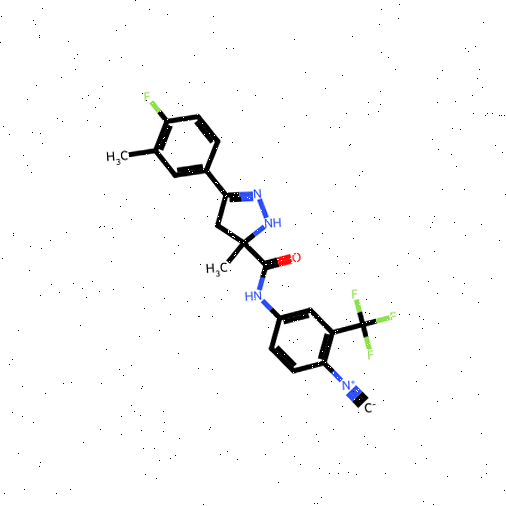 [C-]#[N+]c1ccc(NC(=O)C2(C)CC(c3ccc(F)c(C)c3)=NN2)cc1C(F)(F)F